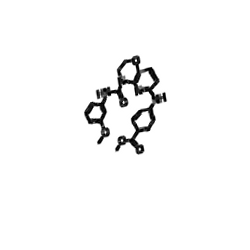 COC(=O)c1ccc(Nc2ccc3c(n2)N(C(=O)Nc2cccc(OC)c2)CCO3)cc1